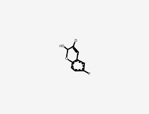 OC1Oc2ccc(F)cc2C=C1Cl